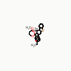 [2H]C1([2H])C(C2(c3ccccc3)OCCCC(OC)O2)=C(c2ccc(C=C)cc2)C=C2[S+]=c3ccccc3=C21